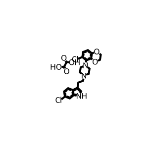 Clc1ccc2c(CCN3CCN(c4c(Cl)ccc5c4OCCO5)CC3)c[nH]c2c1.O=C(O)C(=O)O